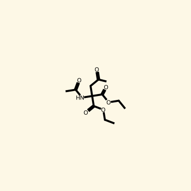 CCOC(=O)C(CC(C)=O)(NC(C)=O)C(=O)OCC